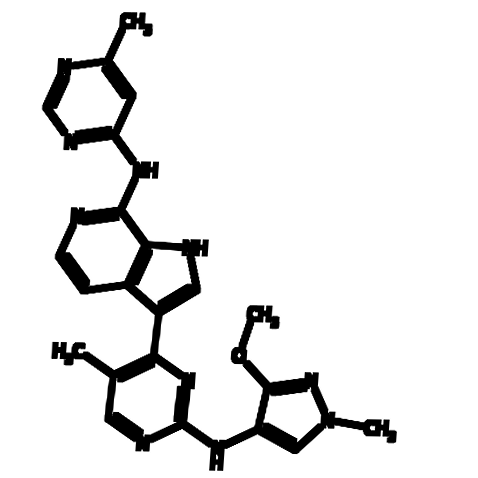 COc1nn(C)cc1Nc1ncc(C)c(-c2c[nH]c3c(Nc4cc(C)ncn4)nccc23)n1